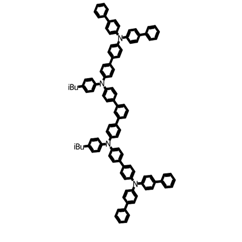 CCC(C)c1ccc(N(c2ccc(-c3ccc(N(c4ccc(-c5ccccc5)cc4)c4ccc(-c5ccccc5)cc4)cc3)cc2)c2ccc(-c3cccc(-c4ccc(N(c5ccc(-c6ccc(N(c7ccc(-c8ccccc8)cc7)c7ccc(-c8ccccc8)cc7)cc6)cc5)c5ccc(C(C)CC)cc5)cc4)c3)cc2)cc1